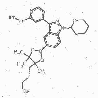 CCC(C)CCCC1(C)OB(c2ccc3c(c2)c(-c2ccnc(OC(C)C)c2)nn3C2CCCCO2)OC1(C)C